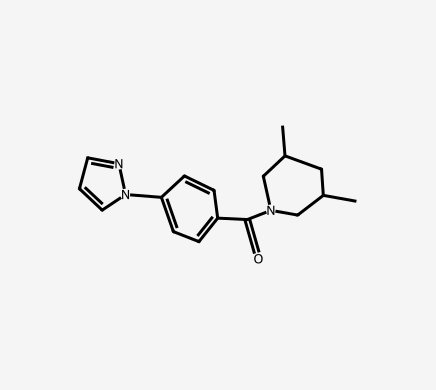 CC1CC(C)CN(C(=O)c2ccc(-n3cccn3)cc2)C1